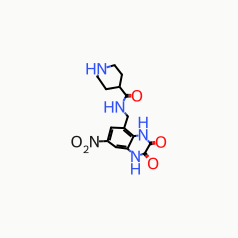 O=C(NCc1cc([N+](=O)[O-])cc2[nH]c(=O)c(=O)[nH]c12)C1CCNCC1